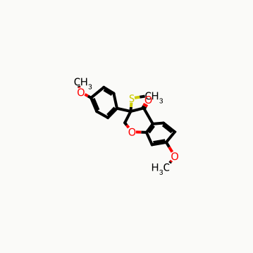 COc1ccc(C2(SC)COc3cc(OC)ccc3C2=O)cc1